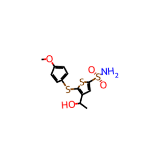 COc1ccc(Sc2sc(S(N)(=O)=O)cc2C(C)O)cc1